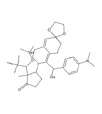 CN(C)c1ccc(C(O)C2=C3CCC4(C=C3CCC2C2CCC(=O)C2(C)C(O[SiH](C)C)C(C)(C)C)OCCO4)cc1